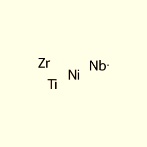 [Nb].[Ni].[Ti].[Zr]